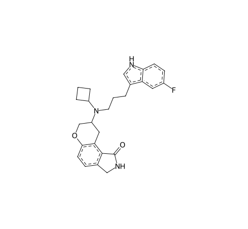 O=C1NCc2ccc3c(c21)CC(N(CCCc1c[nH]c2ccc(F)cc12)C1CCC1)CO3